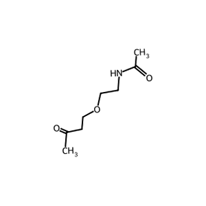 CC(=O)CCOCCNC(C)=O